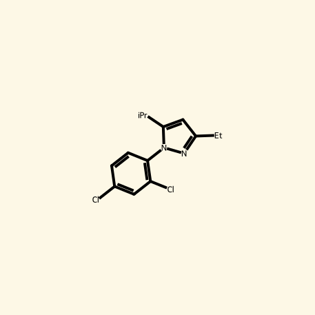 CCc1cc(C(C)C)n(-c2ccc(Cl)cc2Cl)n1